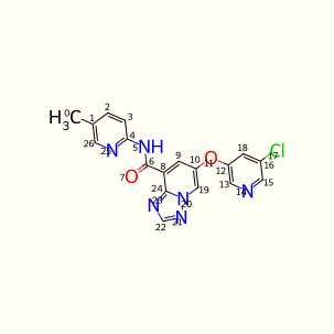 Cc1ccc(NC(=O)c2cc(Oc3cncc(Cl)c3)cn3ncnc23)nc1